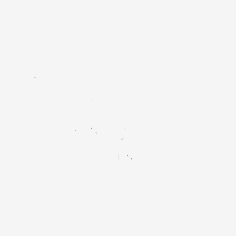 CC1CC(NC(=O)CN2CC3(CC3)c3cc(Br)ccc3C2=O)C1